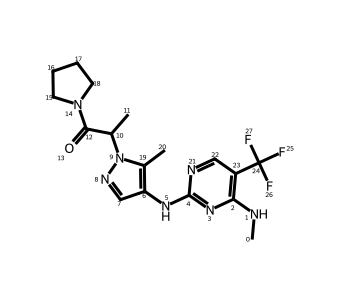 CNc1nc(Nc2cnn(C(C)C(=O)N3CCCC3)c2C)ncc1C(F)(F)F